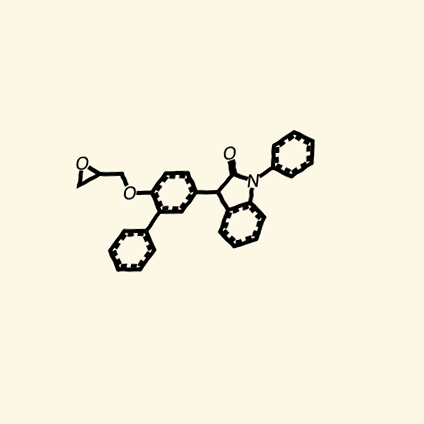 O=C1C(c2ccc(OCC3CO3)c(-c3ccccc3)c2)c2ccccc2N1c1ccccc1